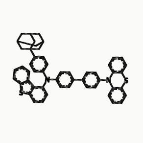 c1ccc2c(c1)Sc1ccccc1N2c1ccc(-c2ccc(N(c3ccc(C45CC6CC(CC(C6)C4)C5)cc3)c3cccc4sc5ccccc5c34)cc2)cc1